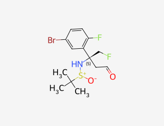 CC(C)(C)[S+]([O-])N[C@@](CF)(CC=O)c1cc(Br)ccc1F